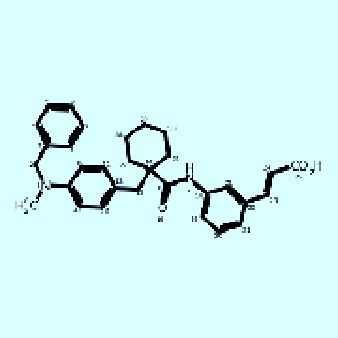 CN(Cc1ccccc1)c1ccc(CC2(C(=O)Nc3cccc(/C=C/C(=O)O)c3)CCCCC2)cc1